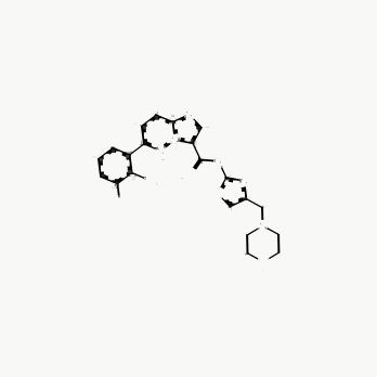 O=C(Nc1nc(CN2CCOCC2)cs1)c1cnc2ccc(-c3cccc(F)c3F)nn12